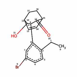 CCc1ccc(Br)cc1C1=C(O)C2C=CC(CC2)C1=O